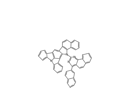 c1ccc2cc(-c3nc(-n4c5c6ccccc6ccc5c5cc6c7ccccc7n7c8ccccc8c(c54)c67)nc4c3ccc3ccccc34)ccc2c1